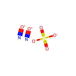 N#[O+].N#[O+].O=S(=O)([O-])[O-]